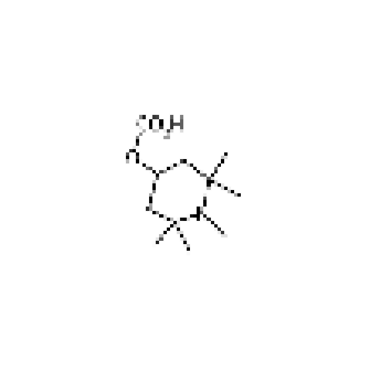 CN1C(C)(C)CC(OC(=O)O)CC1(C)C